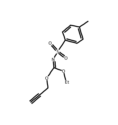 C#CCOC(=NS(=O)(=O)c1ccc(C)cc1)OCC